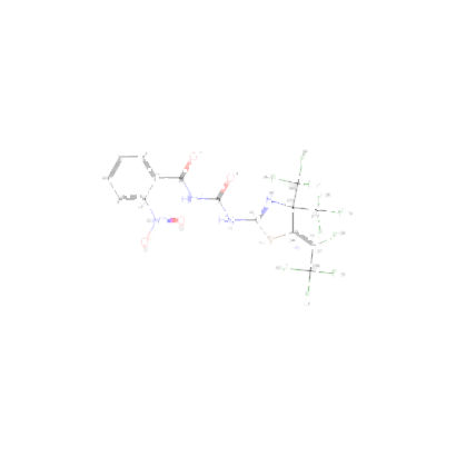 O=C(NC(=O)c1ccccc1[N+](=O)[O-])NC1=NC(C(F)(F)F)(C(F)(F)F)/C(=C(\F)C(F)(F)F)S1